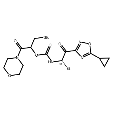 CC[C@H](NC(=O)OC(CC(C)(C)C)C(=O)N1CCOCC1)C(=O)c1noc(C2CC2)n1